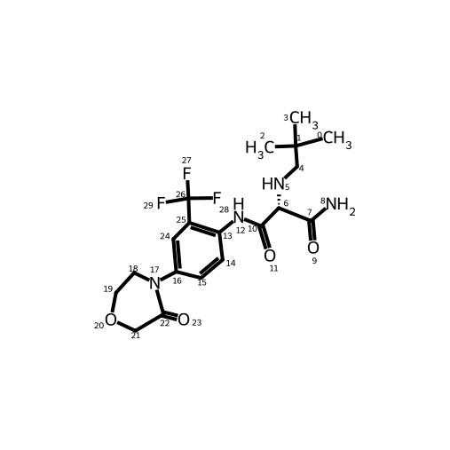 CC(C)(C)CN[C@H](C(N)=O)C(=O)Nc1ccc(N2CCOCC2=O)cc1C(F)(F)F